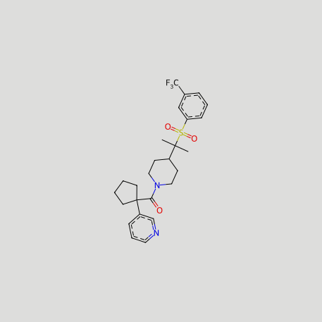 CC(C)(C1CCN(C(=O)C2(c3cccnc3)CCCC2)CC1)S(=O)(=O)c1cccc(C(F)(F)F)c1